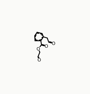 O=CCOC(=O)c1ccccc1CC=O